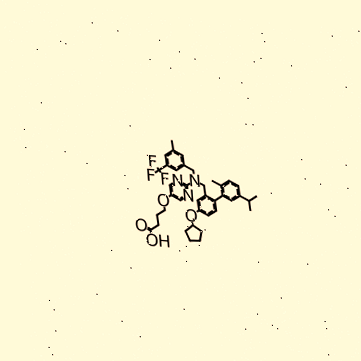 Cc1cc(CN(Cc2cc(OC3CCCC3)ccc2-c2cc(C(C)C)ccc2C)c2ncc(OCCCC(=O)O)cn2)cc(C(F)(F)F)c1